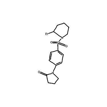 CCC1CCCCN1S(=O)(=O)c1ccc(N2CCCC2=O)cc1